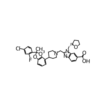 CC1(c2ccc(Cl)cc2F)Oc2cccc(C3CCN(Cc4nc5ccc(C(=O)O)cc5n4C[C@@H]4CCCO4)CC3)c2O1